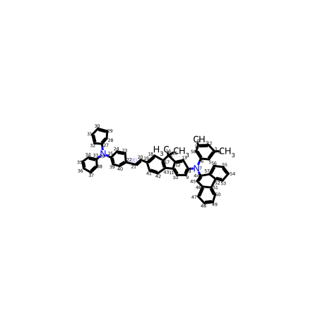 Cc1cc(C)cc(N(c2ccc3c(c2)C(C)(C)c2cc(/C=C/c4ccc(N(c5ccccc5)c5ccccc5)cc4)ccc2-3)c2cc3ccccc3c3ccccc23)c1